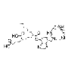 CCCCCCC(CCCC(CCCC(=O)O)C(=O)O)C(=O)Oc1ccc(CN2CCNCCCNCCNC2)c2cccnc12